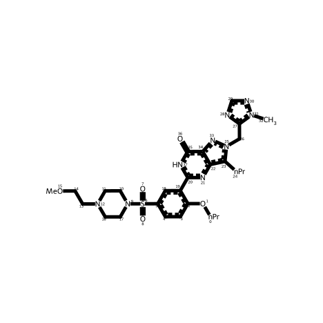 CCCOc1ccc(S(=O)(=O)N2CCN(CCOC)CC2)cc1-c1nc2c(CCC)n(Cc3ncnn3C)nc2c(=O)[nH]1